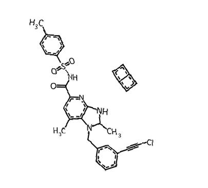 Cc1ccc(S(=O)(=O)NC(=O)c2cc(C)c3c(n2)NC(C)N3Cc2cccc(C#CCl)c2)cc1.c1cc2ccc1-2